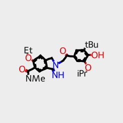 CCOc1cc2c(cc1C(=O)NC)C(=N)N(CC(=O)c1cc(OC(C)C)c(O)c(C(C)(C)C)c1)C2